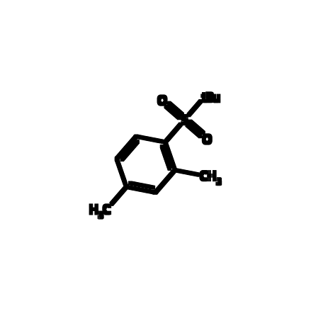 Cc1ccc(S(=O)(=O)C(C)(C)C)c(C)c1